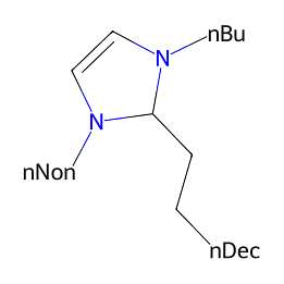 CCCCCCCCCCCCC1N(CCCC)C=CN1CCCCCCCCC